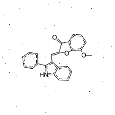 COc1cccc2c1O/C(=C\c1c(-c3ccccc3)[nH]c3ccccc13)C2=O